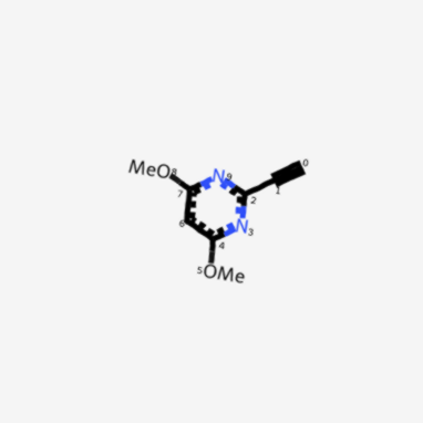 C#Cc1nc(OC)cc(OC)n1